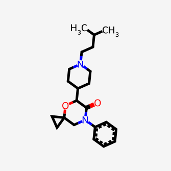 CC(C)CCN1CCC(C2OC3(CC3)CN(c3ccccc3)C2=O)CC1